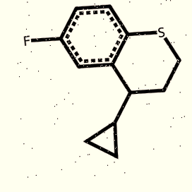 Fc1ccc2c(c1)C(C1CC1)CCS2